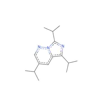 CC(C)c1cnn2c(C(C)C)nc(C(C)C)c2c1